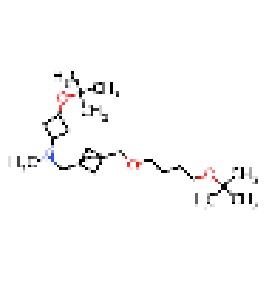 CN(CC12CC(COCCCCOC(C)(C)C)(C1)C2)C1CC(OC(C)(C)C)C1